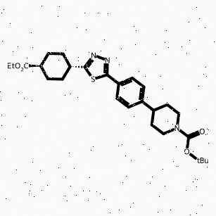 CCOC(=O)[C@H]1CC[C@H](c2nnc(-c3ccc(C4CCN(C(=O)OC(C)(C)C)CC4)cc3)s2)CC1